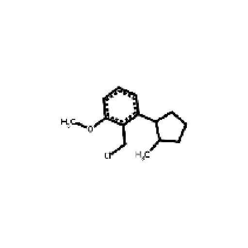 COc1cccc(C2CCCC2C)c1CCl